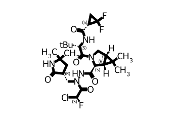 CC1(C)C[C@H](CN(NC(=O)[C@@H]2[C@@H]3[C@H](CN2C(=O)[C@@H](NC(=O)[C@@H]2CC2(F)F)C(C)(C)C)C3(C)C)C(=O)[C@@H](F)Cl)C(=O)N1